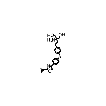 NC(CO)(CO)CCc1ccc(Sc2ccc(-c3coc(C4CC4)n3)cc2)cc1